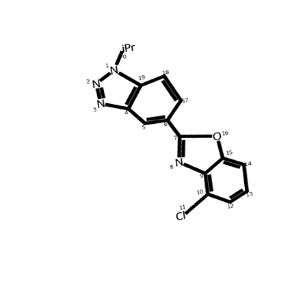 CC(C)n1nnc2cc(-c3nc4c(Cl)cccc4o3)ccc21